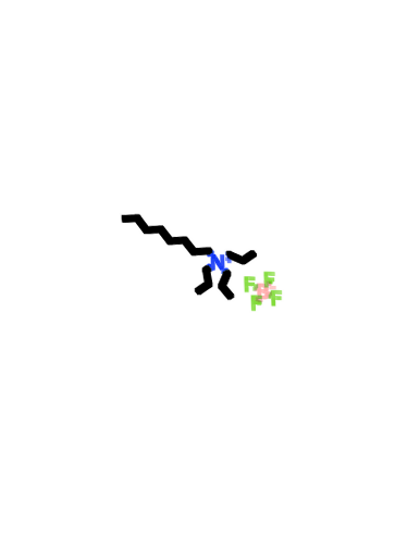 CCCCCCCC[N+](CCC)(CCC)CCC.F[B-](F)(F)F